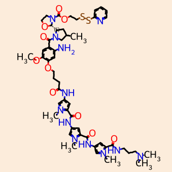 COc1cc(C(=O)N2CC(C)C[C@H]2C2OCCN2C(=O)OCCSSc2ccccn2)c(N)cc1OCCCC(=O)Nc1cc(C(=O)Nc2cc(C(=O)Nc3cc(C(=O)NCCCN(C)C)n(C)c3)n(C)c2)n(C)c1